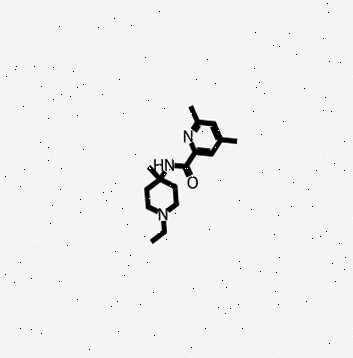 CCN1CCC(C)(NC(=O)c2cc(C)cc(C)n2)CC1